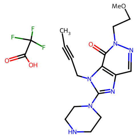 CC#CCn1c(N2CCNCC2)nc2cnn(CCOC)c(=O)c21.O=C(O)C(F)(F)F